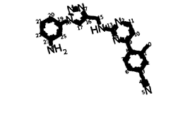 Cc1cc(C#N)ccc1-c1ccnc(NCc2cn(-c3cccc(N)c3)nn2)n1